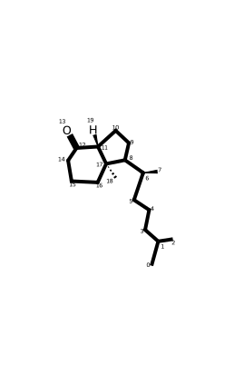 CC(C)CCC[C@H](C)C1CC[C@H]2C(=O)CCC[C@]12C